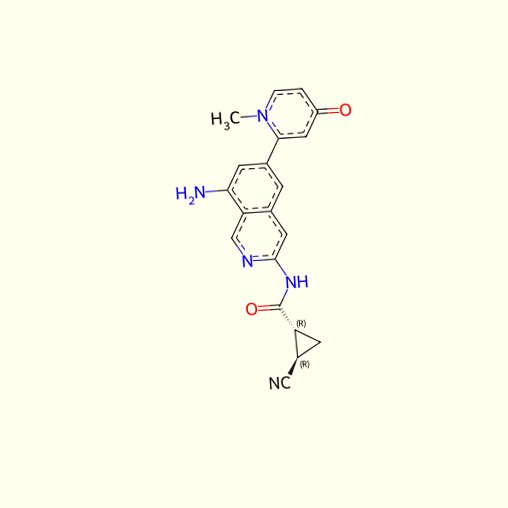 Cn1ccc(=O)cc1-c1cc(N)c2cnc(NC(=O)[C@@H]3C[C@H]3C#N)cc2c1